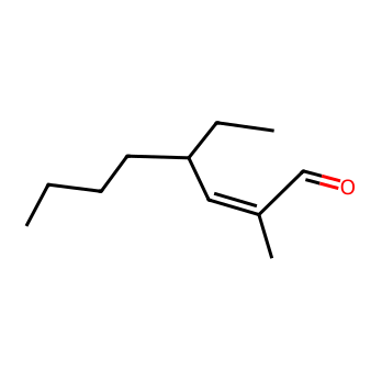 CCCCC(C=C(C)C=O)CC